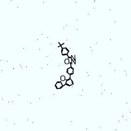 CC(C)(C)c1ccc(-c2nnc(-c3ccc(-c4cccc5c4oc4ccccc45)cc3)o2)cc1